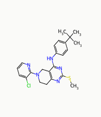 CSc1nc2c(c(Nc3ccc(C(C)(C)C)cc3)n1)CN(c1ncccc1Cl)CC2